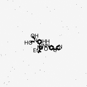 CCC(C)(C)c1cc(NC(=O)Nc2ccc(Oc3ccncc3)cc2)n(-c2cccc(N(CCO)CCO)c2)n1